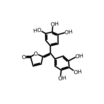 O=C1C=CC(=C(c2cc(O)c(O)c(O)c2)c2cc(O)c(O)c(O)c2)O1